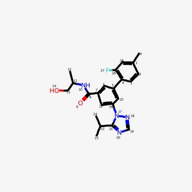 Cc1ccc(-c2cc(C(=O)NC(C)CO)cc(-n3ncnc3C(C)C)c2)c(F)c1